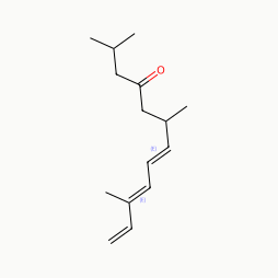 C=C/C(C)=C/C=C/C(C)CC(=O)CC(C)C